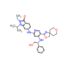 CCn1c(=O)c2ccc(Nc3cc(N[C@H](CO)c4ccccc4)c(C4=NC5(CCOCC5)CO4)cn3)cc2n1C(C)C